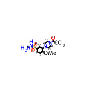 COc1ccc(S(=O)(=O)NN)cc1N1CCN(C(=O)C(Cl)(Cl)Cl)CC1